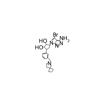 Nc1ncnc2c1c(Br)cn2C1CC(c2cccc(CN3CCC4(CCC4)C3)c2)C(O)C1O